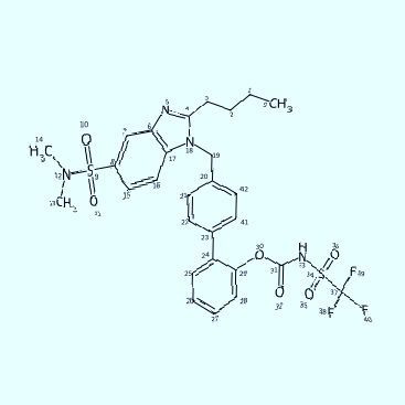 CCCCc1nc2cc(S(=O)(=O)N(C)C)ccc2n1Cc1ccc(-c2ccccc2OC(=O)NS(=O)(=O)C(F)(F)F)cc1